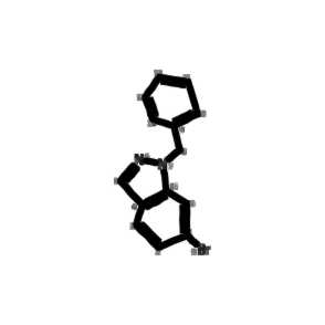 Brc1ccc2cnn(Cc3ccccc3)c2c1